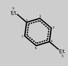 [CH2]Cc1ccc(CC)cc1